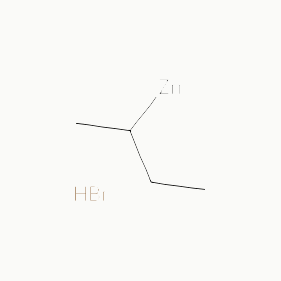 Br.CC[CH](C)[Zn]